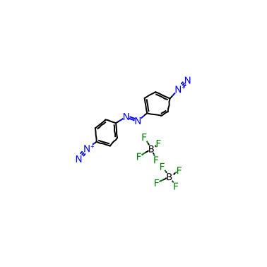 F[B-](F)(F)F.F[B-](F)(F)F.N#[N+]c1ccc(N=Nc2ccc([N+]#N)cc2)cc1